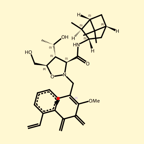 C=C/C(CN1O[C@@H](CO)[C@H]([C@H](C)O)[C@H]1C(=O)N[C@H]1C[C@H]2C[C@@H]([C@@H]1C)C2(C)C)=C(/OC)C(=C)C(=C)c1ccccc1C=C